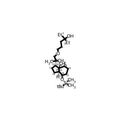 CCC(O)(CC)CCCOCC(C)(C)[C@H]1CC[C@@H]2[C@H](O[Si](C)(C)C(C)(C)C)CCC[C@]21C